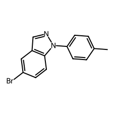 Cc1ccc(-n2ncc3cc(Br)ccc32)cc1